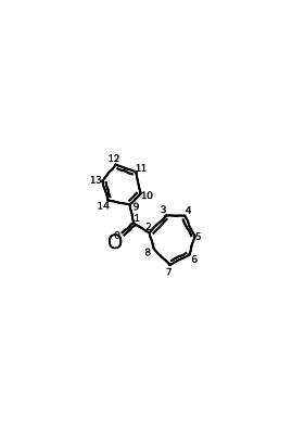 O=C(C1=CC=CC=CC1)c1ccccc1